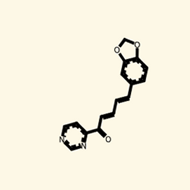 O=C(C=CC=Cc1ccc2c(c1)OCO2)c1ccncn1